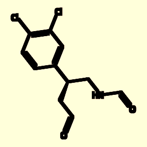 O=CC[C@H](CNC=O)c1ccc(Cl)c(Cl)c1